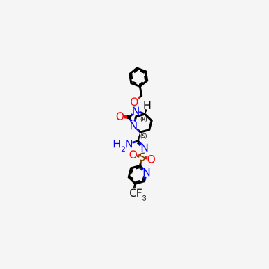 NC(=NS(=O)(=O)c1ccc(C(F)(F)F)cn1)[C@@H]1CC[C@@H]2CN1C(=O)N2OCc1ccccc1